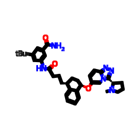 CN1CCC[C@H]1c1nnc2ccc(O[C@@H]3CC[C@H](CCCC(=O)Nc4cc(C(N)=O)cc(C(C)(C)C)c4)c4ccccc43)cn12